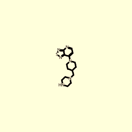 c1cc(N2CCC(CN3CCNCC3)CC2)c2nsnc2n1